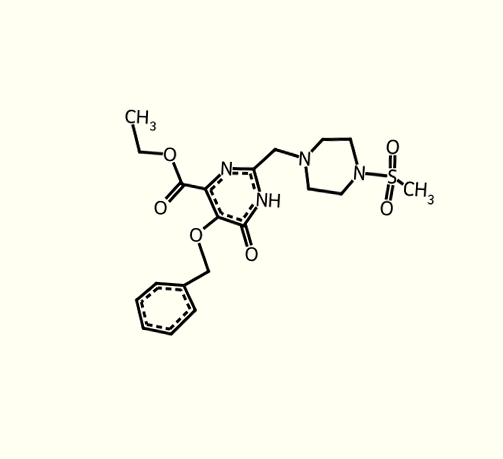 CCOC(=O)c1nc(CN2CCN(S(C)(=O)=O)CC2)[nH]c(=O)c1OCc1ccccc1